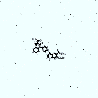 CNC(=O)c1cc2c(Oc3ccc(N(C(=O)C4(C(N)=O)CC4)C4CCCCC4)nc3)ccnc2cc1OC